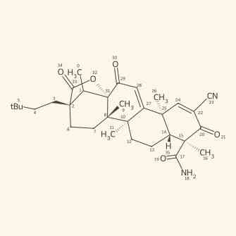 CC1[C@]2(CCC(C)(C)C)CC[C@@]3(C)[C@]4(C)CC[C@H]5[C@](C)(C(N)=O)C(=O)C(C#N)=C[C@]5(C)C4=CC(=O)[C@]13OC2=O